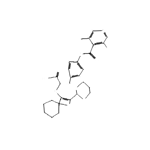 O=C(Nc1ccc(C[C@H](NC2=C(C3SCCCS3)OC23CCCCC3)C(=O)O)cc1)c1c(Cl)cncc1Cl